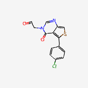 O=CCn1cnc2csc(-c3ccc(Cl)cc3)c2c1=O